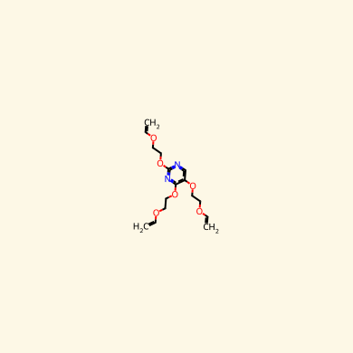 C=COCCOc1ncc(OCCOC=C)c(OCCOC=C)n1